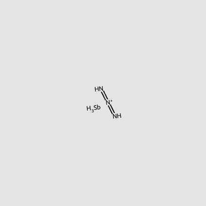 N=[N+]=N.[SbH3]